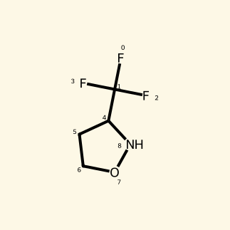 FC(F)(F)C1CCON1